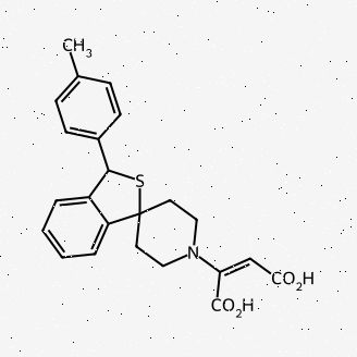 Cc1ccc(C2SC3(CCN(C(=CC(=O)O)C(=O)O)CC3)c3ccccc32)cc1